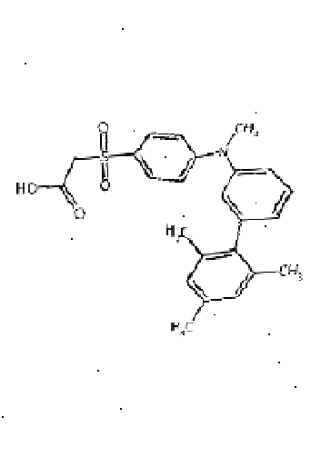 Cc1cc(C)c(-c2cccc(N(C)c3ccc(S(=O)(=O)CC(=O)O)cc3)c2)c(C)c1